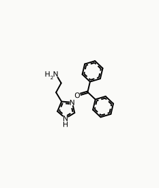 NCCc1c[nH]cn1.O=C(c1ccccc1)c1ccccc1